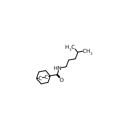 CC(C)CCCNC(=O)C12CCC(CC1)CC2